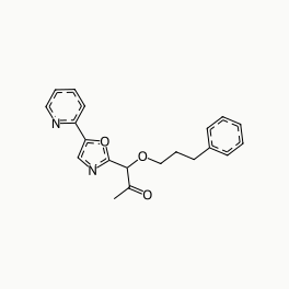 CC(=O)C(OCCCc1ccccc1)c1ncc(-c2ccccn2)o1